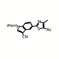 CCCC(C)n1cc(C#N)c2cc(-c3nc(C)c(C(C)=O)s3)ccc21